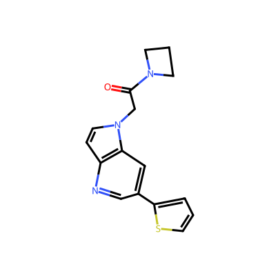 O=C(Cn1ccc2ncc(-c3cccs3)cc21)N1CCC1